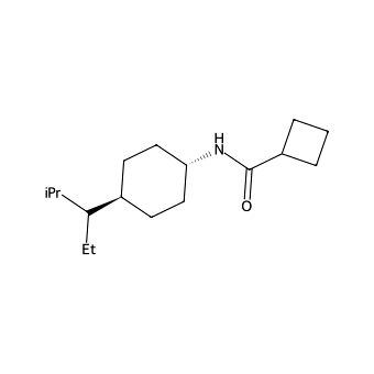 CCC(C(C)C)[C@H]1CC[C@H](NC(=O)C2CCC2)CC1